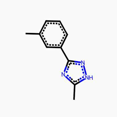 Cc1cccc(-c2n[nH]c(C)n2)c1